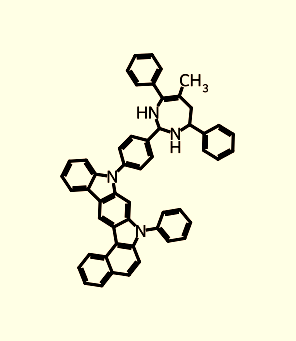 CC1=C(c2ccccc2)NC(c2ccc(-n3c4ccccc4c4cc5c6c7ccccc7ccc6n(-c6ccccc6)c5cc43)cc2)NC(c2ccccc2)C1